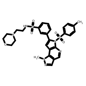 Cc1ccc(S(=O)(=O)n2c(-c3cccc(S(=O)(=O)NCCN4CCOCC4)c3)cc3c4c(cnc32)cnn4C)cc1